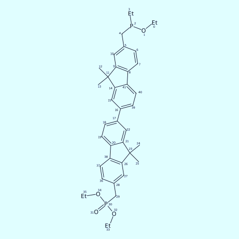 CCOP(CC)Cc1ccc2c(c1)C(C)(C)c1cc(-c3ccc4c(c3)C(C)(C)c3cc(CP(=O)(OCC)OCC)ccc3-4)ccc1-2